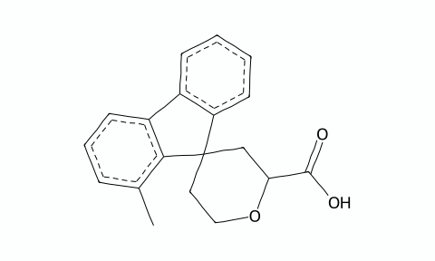 Cc1cccc2c1C1(CCOC(C(=O)O)C1)c1ccccc1-2